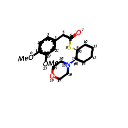 COc1ccc(CC(=O)S[C@@H]2CCCC[C@H]2N2CCOCC2)cc1OC